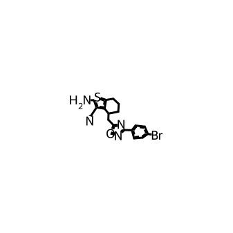 N#Cc1c(N)sc2c1C(Cc1nc(-c3ccc(Br)cc3)no1)CCC2